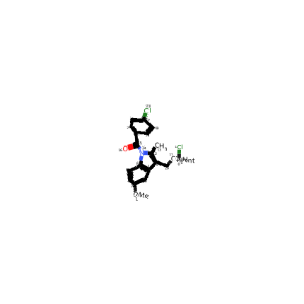 CCCCCCl.COc1ccc2c(c1)c(CC(=O)O)c(C)n2C(=O)c1ccc(Cl)cc1